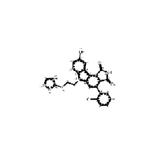 O=C1NC(=O)c2c1c(-c1ccccc1Cl)cc1c2c2cc(O)ccc2n1CCSc1nnc[nH]1